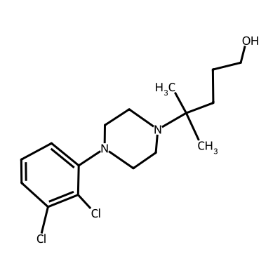 CC(C)(CCCO)N1CCN(c2cccc(Cl)c2Cl)CC1